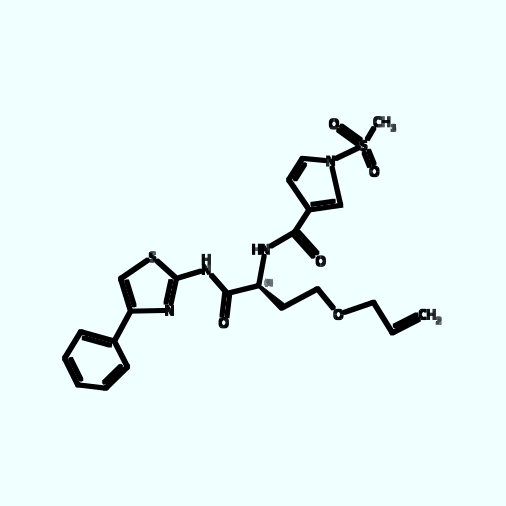 C=CCOCC[C@H](NC(=O)c1ccn(S(C)(=O)=O)c1)C(=O)Nc1nc(-c2ccccc2)cs1